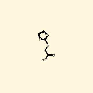 O=C(O)CSc1nccs1